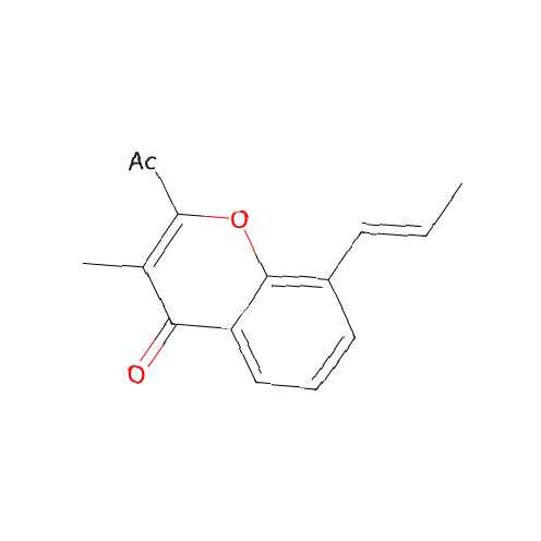 CC=Cc1cccc2c(=O)c(C)c(C(C)=O)oc12